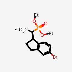 CCOC(=O)C(C1CCc2cc(Br)ccc21)P(=O)(OCC)OCC